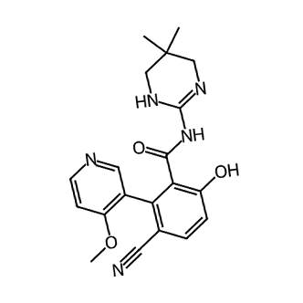 COc1ccncc1-c1c(C#N)ccc(O)c1C(=O)NC1=NCC(C)(C)CN1